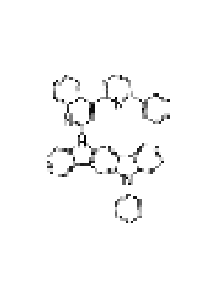 c1ccc(-c2cccc(-c3cc(-n4c5ccccc5c5cc6c(cc54)c4ccccc4n6-c4ccccc4)nc4ccccc34)n2)cc1